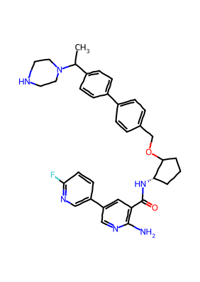 CC(c1ccc(-c2ccc(COC3CCC[C@@H]3NC(=O)c3cc(-c4ccc(F)nc4)cnc3N)cc2)cc1)N1CCNCC1